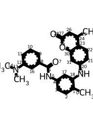 Cc1ccc(NC(=O)c2cccc(N(C)C)c2)cc1Nc1ccc2c(C)cc(=O)oc2c1